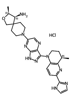 C[C@@H]1CCN(c2n[nH]c3nc(N4CCC5(CC4)CO[C@@H](C)[C@H]5N)cnc23)c2ccc(-c3ncc[nH]3)nc21.Cl